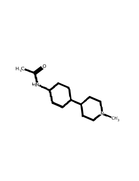 CC(=O)NC1CCC(C2CCN(C)CC2)CC1